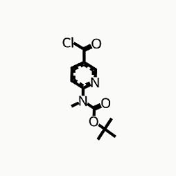 CN(C(=O)OC(C)(C)C)c1ccc(C(=O)Cl)cn1